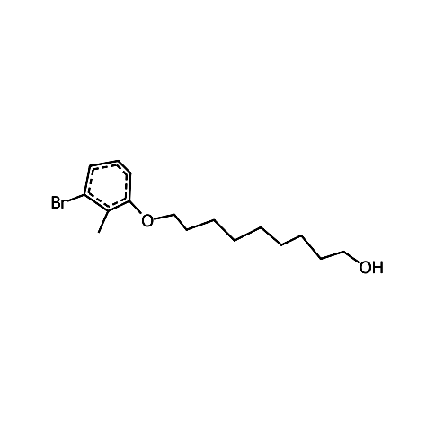 Cc1c(Br)cccc1OCCCCCCCCCO